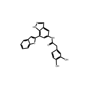 O=C(Cc1ccc(O)c(O)c1)Nc1cc(-c2cc3ccccc3s2)c2[nH]ncc2c1